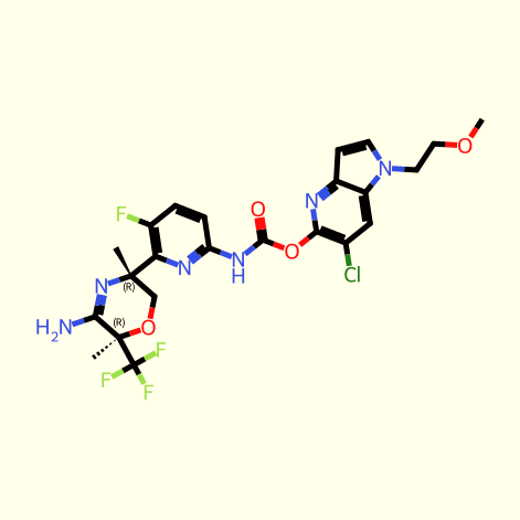 COCCn1ccc2nc(OC(=O)Nc3ccc(F)c([C@]4(C)CO[C@@](C)(C(F)(F)F)C(N)=N4)n3)c(Cl)cc21